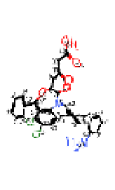 CC(C)(C)CN1C(=O)C(CC(=O)CC(=O)O)OC(c2ccccc2Cl)c2cc(Cl)ccc21.Nc1ccccc1